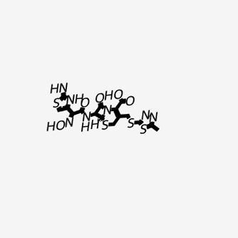 Cc1nnc(SCC2=C(C(=O)O)N3C(=O)C(NC(=O)C(=NO)c4csc(=N)[nH]4)[C@@H]3SC2)s1